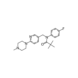 CN1CCN(c2ccc(CN(C(=O)C(C)(C)C)c3ccc(F)cc3)cn2)CC1